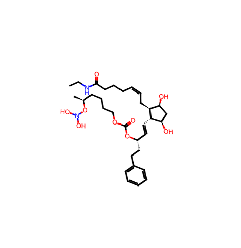 CCNC(=O)CCC/C=C\C[C@@H]1[C@@H](/C=C/[C@H](CCc2ccccc2)OC(=O)OCCCC[C@H](C)ON(O)O)[C@H](O)C[C@@H]1O